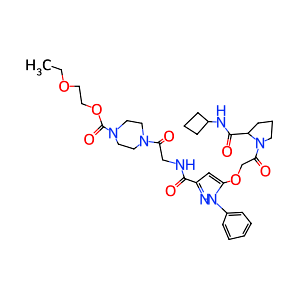 CCOCCOC(=O)N1CCN(C(=O)CNC(=O)c2cc(OCC(=O)N3CCCC3C(=O)NC3CCC3)n(-c3ccccc3)n2)CC1